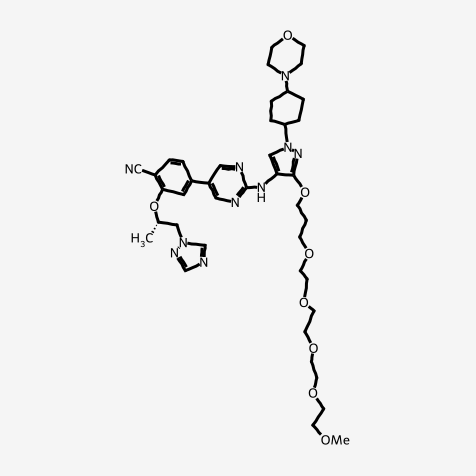 COCCOCCOCCOCCOCCCOc1nn(C2CCC(N3CCOCC3)CC2)cc1Nc1ncc(-c2ccc(C#N)c(O[C@@H](C)Cn3cncn3)c2)cn1